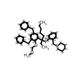 CCCCCC(CC)(Pc1ccccc1CN1CCCCC1)c1cc(Cc2ccccc2)cc(Cc2ccccc2)c1OCOC